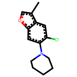 Cc1coc2cc(N3CCCCC3)c(Cl)cc12